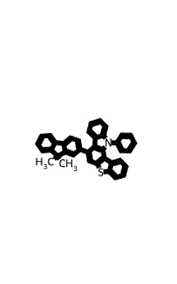 CC1(C)c2ccccc2-c2ccc(-c3cc4sc5ccccc5c4c4c3c3ccccc3n4-c3ccccc3)cc21